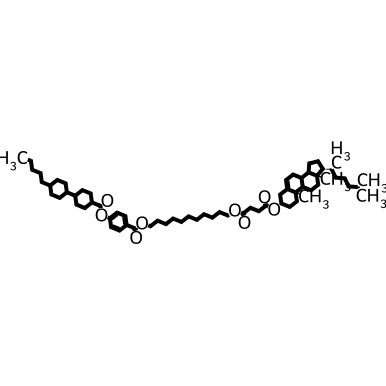 CCCCCC1CCC(C2CCC(C(=O)Oc3ccc(C(=O)OCCCCCCCCCCCOC(=O)CCC(=O)O[C@H]4CC[C@@]5(C)C(=CCC6C5CC[C@@]5(C)C6CC[C@@H]5C(C)CCCC(C)C)C4)cc3)CC2)CC1